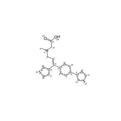 CN(CC=C(c1ccc(-c2ccsc2)cc1)c1ccsc1)CC(=O)O